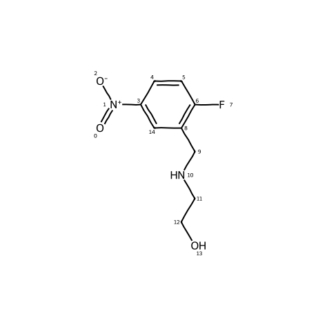 O=[N+]([O-])c1ccc(F)c(CNCCO)c1